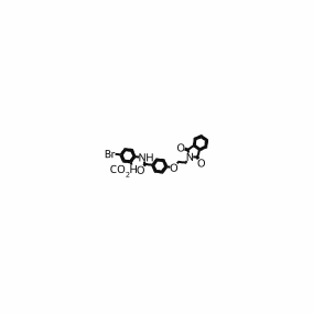 O=C(Nc1ccc(Br)cc1C(=O)O)c1ccc(OCCN2C(=O)c3ccccc3C2=O)cc1